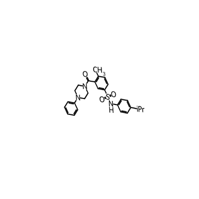 Cc1ccc(S(=O)(=O)Nc2ccc(C(C)C)cc2)cc1C(=O)N1CCN(c2ccccc2)CC1